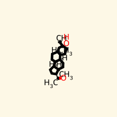 C#C[C@@]1(O)CC[C@@]2(C)[C@H](CC[C@@H]3[C@@H]2CC[C@]2(C)[C@@H](C(C)=O)CC[C@@H]32)C1